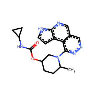 CC1CCC(OC(=O)NC2CC2)CN1c1nncc2cnc3[nH]ccc3c12